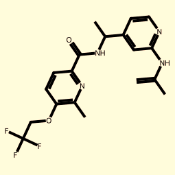 C=C(C)Nc1cc(C(C)NC(=O)c2ccc(OCC(F)(F)F)c(C)n2)ccn1